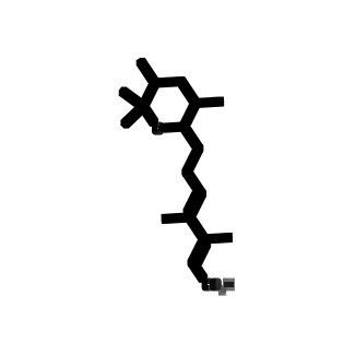 CC(=C\CCC1OC(C)(C)C(C)CC1C)/C(C)=C/C(=O)O